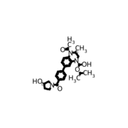 CC(=O)N1c2ccc(-c3ccc(C(=O)N4CC[C@H](O)C4)cc3)cc2N(C(O)OC(C)C)C[C@@H]1C